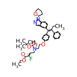 CCOC(=O)/C(F)=C/CN(CCOc1ccc(/C(=C(/CC)c2ccccc2)c2ccc3c(cnn3C3CCCCO3)c2)cc1)C(=O)OC(C)(C)C